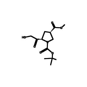 COC(=O)[C@H]1C[C@@H](C(=O)CO)N(C(=O)OC(C)(C)C)C1